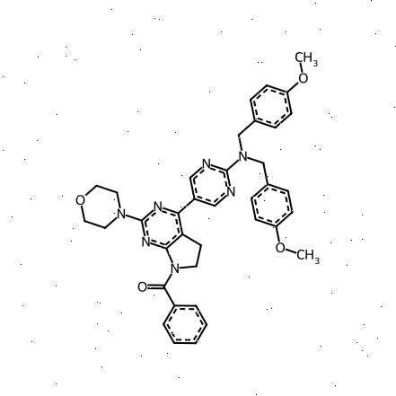 COc1ccc(CN(Cc2ccc(OC)cc2)c2ncc(-c3nc(N4CCOCC4)nc4c3CCN4C(=O)c3ccccc3)cn2)cc1